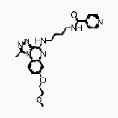 COCCOc1ccc2c(c1)nc(NCCCCNC(=O)c1ccncc1)c1nnc(C)n12